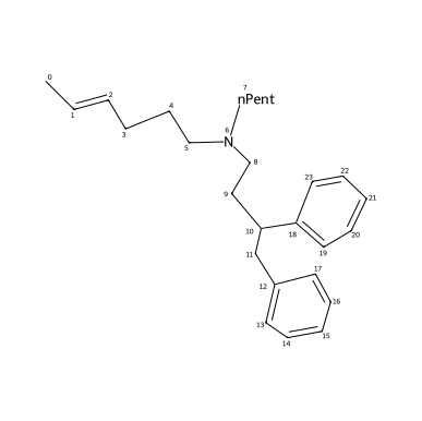 CC=CCCCN(CCCCC)CCC(Cc1ccccc1)c1ccccc1